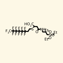 CCO[Si](CCCNC(=O)CC(SCCC(F)(F)C(F)(F)C(F)(F)C(F)(F)C(F)(F)C(F)(F)F)C(=O)O)(OCC)OCC